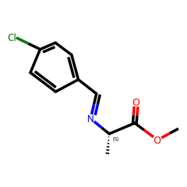 COC(=O)[C@H](C)N=Cc1ccc(Cl)cc1